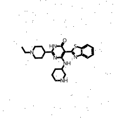 CCN1CCC(c2nc(NC3CCCNC3)c(-c3nc4ccccc4s3)c(=O)[nH]2)CC1